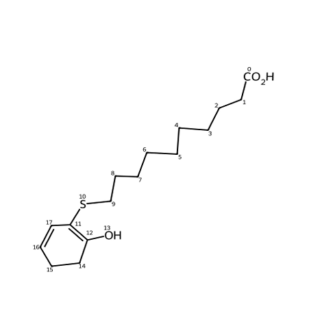 O=C(O)CCCCCCCCCSC1=C(O)CCC=C1